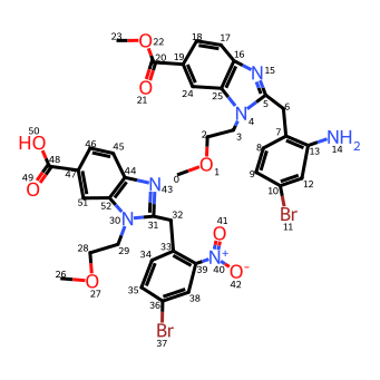 COCCn1c(Cc2ccc(Br)cc2N)nc2ccc(C(=O)OC)cc21.COCCn1c(Cc2ccc(Br)cc2[N+](=O)[O-])nc2ccc(C(=O)O)cc21